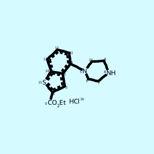 CCOC(=O)c1cc2c(N3CCNCC3)cccc2s1.Cl